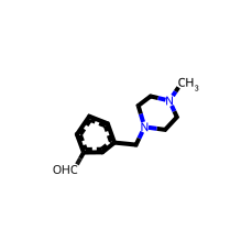 CN1CCN(Cc2cccc(C=O)c2)CC1